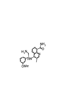 COc1cccc([C@@H](CN)Nc2c(C)cnc3c(C(N)=O)cccc23)c1